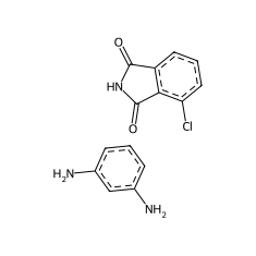 Nc1cccc(N)c1.O=C1NC(=O)c2c(Cl)cccc21